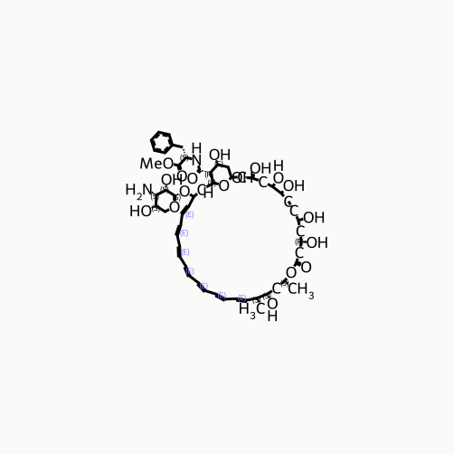 COC(=O)[C@H](Cc1ccccc1)NC(=O)[C@H]1[C@@H]2CC(O[C@@H]3OC[C@@H](O)[C@H](N)[C@@H]3O)/C=C/C=C/C=C/C=C/C=C/C=C/C=C/[C@H](C)[C@@H](O)C[C@H](C)OC(=O)C[C@H](O)CC(O)CCC(O)C(O)CC(O)CC(O)(C[C@@H]1O)O2